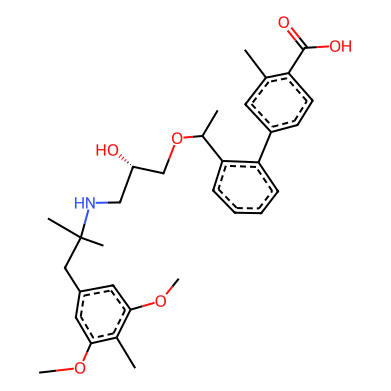 COc1cc(CC(C)(C)NC[C@H](O)COC(C)c2ccccc2-c2ccc(C(=O)O)c(C)c2)cc(OC)c1C